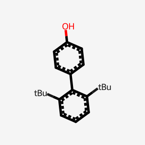 CC(C)(C)c1cccc(C(C)(C)C)c1-c1ccc(O)cc1